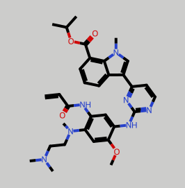 C=CC(=O)Nc1cc(Nc2nccc(-c3cn(C)c4c(C(=O)OC(C)C)cccc34)n2)c(OC)cc1N(C)CCN(C)C